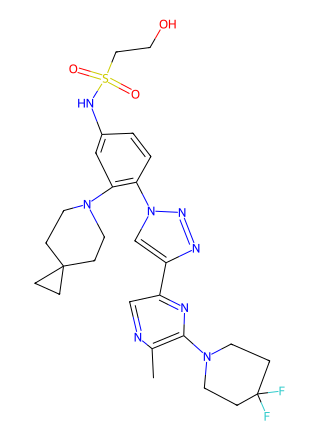 Cc1ncc(-c2cn(-c3ccc(NS(=O)(=O)CCO)cc3N3CCC4(CC3)CC4)nn2)nc1N1CCC(F)(F)CC1